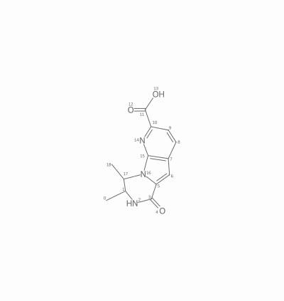 CC1NC(=O)c2cc3ccc(C(=O)O)nc3n2C1C